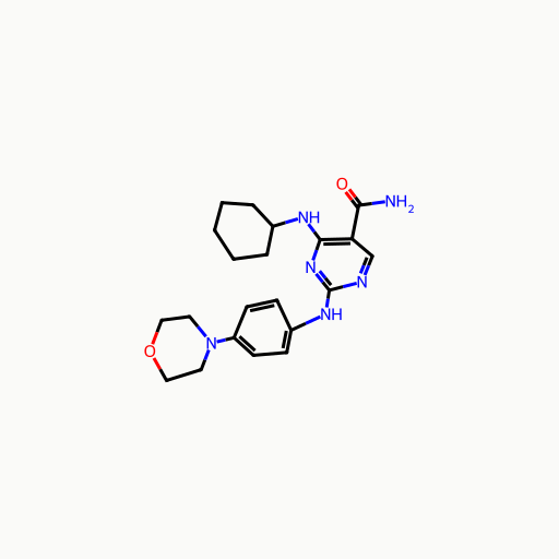 NC(=O)c1cnc(Nc2ccc(N3CCOCC3)cc2)nc1NC1CCCCC1